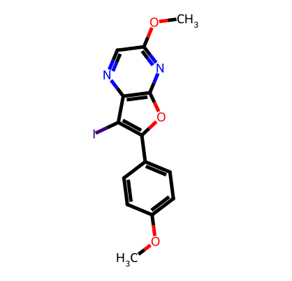 COc1ccc(-c2oc3nc(OC)cnc3c2I)cc1